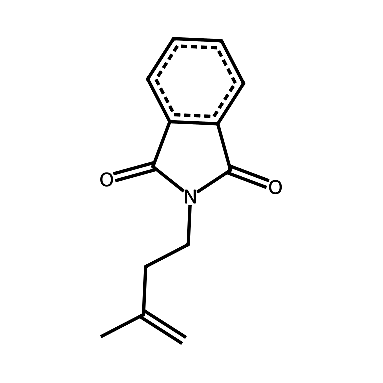 C=C(C)CCN1C(=O)c2ccccc2C1=O